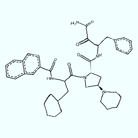 NC(=O)C(=O)C(Cc1ccccc1)NC(=O)[C@@H]1C[C@@H](N2CCCCC2)CN1C(=O)C(CC1CCCCC1)NC(=O)c1ccc2ccccc2c1